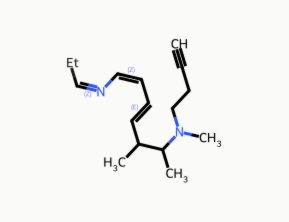 C#CCCN(C)C(C)C(C)/C=C/C=C\N=C/CC